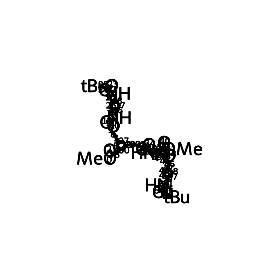 COC(=O)Cc1cc(C#CCOC(=O)NCc2cccc(CNC(=O)OC(C)(C)C)c2)cc(C#CCOC(=O)NC2CC(C(=O)OC)N(C(=O)CCc3ccc(CNC(=O)OC(C)(C)C)cc3)C2)c1